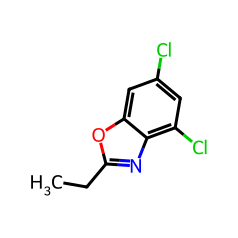 CCc1nc2c(Cl)cc(Cl)cc2o1